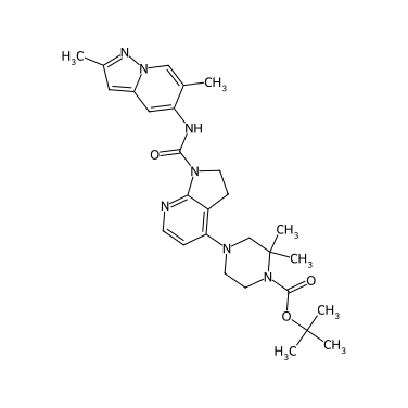 Cc1cc2cc(NC(=O)N3CCc4c(N5CCN(C(=O)OC(C)(C)C)C(C)(C)C5)ccnc43)c(C)cn2n1